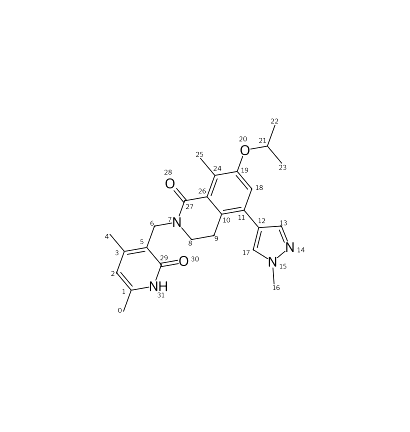 Cc1cc(C)c(CN2CCc3c(-c4cnn(C)c4)cc(OC(C)C)c(C)c3C2=O)c(=O)[nH]1